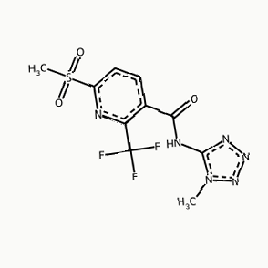 Cn1nnnc1NC(=O)c1ccc(S(C)(=O)=O)nc1C(F)(F)F